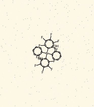 Oc1ccccc1[B-](c1ccccc1O)(c1c(F)c(F)c(F)c(F)c1F)c1c(F)c(F)c(F)c(F)c1F